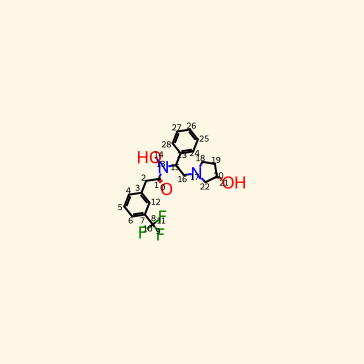 O=C(Cc1cccc(C(F)(F)F)c1)N(O)C(CN1CCC(O)C1)c1ccccc1